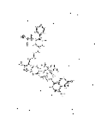 CC(C)(C)[Si](C)(C)OC(CNCc1ccc2c(c1)oc(=O)n2CCCCc1ccc(-c2ccccc2)c(NC(=O)O)c1)c1ccc(O)c2[nH]c(=O)ccc12